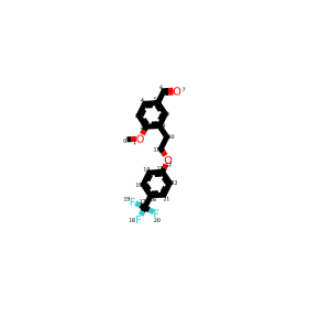 COc1ccc(C=O)cc1CCOc1ccc(C(F)(F)F)cc1